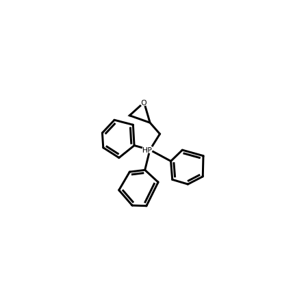 c1ccc([PH](CC2CO2)(c2ccccc2)c2ccccc2)cc1